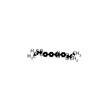 C=C(COC)C(=O)Oc1ccc(-c2ccc(-c3cnc(-c4ccc(OC(=O)C(=C)COC)cc4)nc3)cc2)cc1